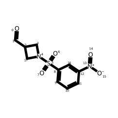 O=CC1CN(S(=O)(=O)c2cccc([N+](=O)[O-])c2)C1